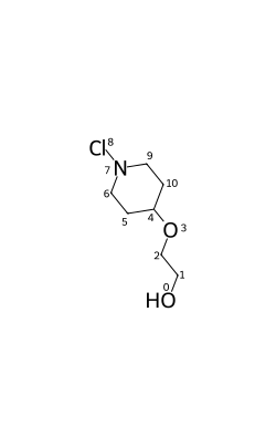 OCCOC1CCN(Cl)CC1